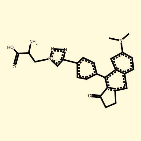 CN(C)c1ccc2cc3c(c(-c4ccc(-c5cn(CC(N)C(=O)O)nn5)cc4)c2c1)C(=O)CC3